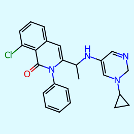 CC(NC1=CN(C2CC2)CN=C1)c1cc2cccc(Cl)c2c(=O)n1-c1ccccc1